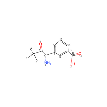 CC(C)(C)C(=O)C(N)c1cccc(C(=O)O)c1